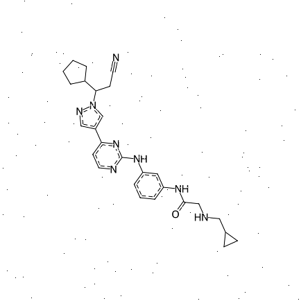 N#CCC(C1CCCC1)n1cc(-c2ccnc(Nc3cccc(NC(=O)CNCC4CC4)c3)n2)cn1